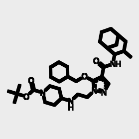 CC1CC2CCCC(C2)C1NC(=O)c1cnn(CCNC2CCN(C(=O)OC(C)(C)C)CC2)c1OCC1CCCCC1